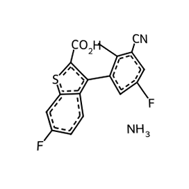 Cc1c(C#N)cc(F)cc1-c1c(C(=O)O)sc2cc(F)ccc12.N